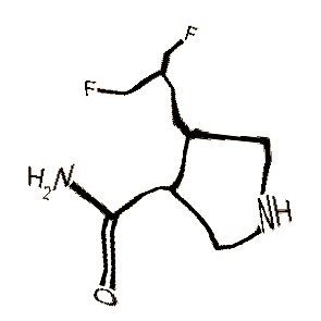 NC(=O)C1CNCC1C(F)F